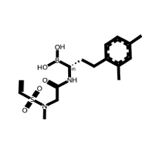 C=CS(=O)(=O)N(C)CC(=O)N[C@@H](CCc1ccc(C)cc1C)B(O)O